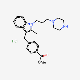 COC(=O)c1ccc(Cc2c(C)n(CCCN3CCNCC3)c3ccccc23)cc1.Cl